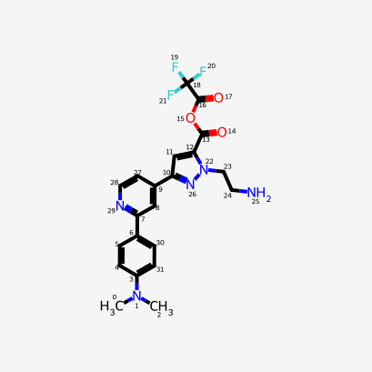 CN(C)c1ccc(-c2cc(-c3cc(C(=O)OC(=O)C(F)(F)F)n(CCN)n3)ccn2)cc1